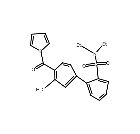 CCN(CC)S(=O)(=O)c1ccccc1-c1ccc(C(=O)B2C=CC=C2)c(C)c1